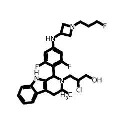 CC1Cc2c([nH]c3ccccc23)C(c2c(F)cc(NC3CN(CCCF)C3)cc2F)N1CC(Cl)CO